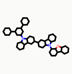 C1CCC(C2CC(C3CCCCC3)CC(N3C4CCCCC4C4CC(C5CCC6C(C5)C5CCCCC5N6C5CCCC6C7CCCCC7OC65)CCC43)C2)CC1